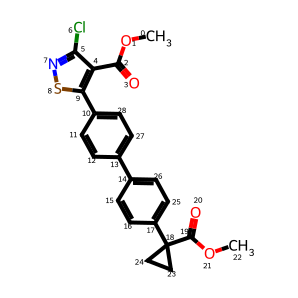 COC(=O)c1c(Cl)nsc1-c1ccc(-c2ccc(C3(C(=O)OC)CC3)cc2)cc1